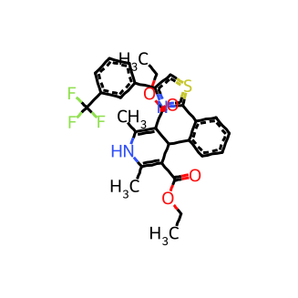 CCOC(=O)C1=C(C)NC(C)=C(C(=O)OCC)C1c1ccccc1-c1nc(-c2cccc(C(F)(F)F)c2)cs1